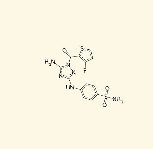 Nc1nc(Nc2ccc(S(N)(=O)=O)cc2)nn1C(=O)c1sccc1F